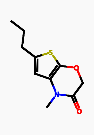 CCCc1cc2c(s1)OCC(=O)N2C